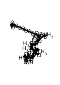 Cc1c[nH]c2c(OC(=O)N(C)CCN(C)C(=O)OCc3ccc(NC(=O)C(CCCNC(N)=O)NC(=O)C(NC(=O)CCOCCOCCOCCOCCOCCOCCN4C(=O)C=CC4=O)C(C)C)cc3)cc3c(c12)C(CCl)CN3C(=O)C12CC3(C(=O)N4CC(CCl)c5c4cc(OP(=O)(O)O)c4[nH]cc(C)c54)CC13C2